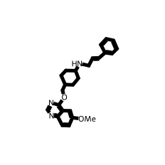 COc1ccc2ncnc(OCC3CCC(NCC=Cc4ccccc4)CC3)c2c1